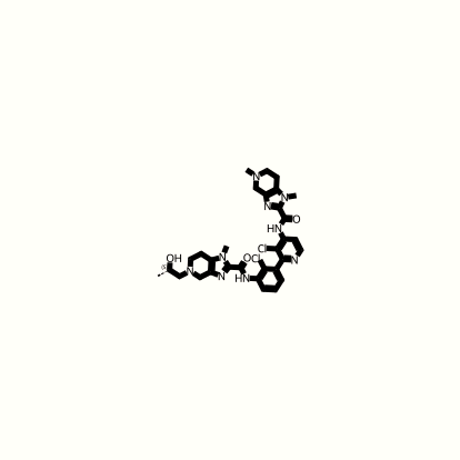 C[C@H](O)CN1CCc2c(nc(C(=O)Nc3cccc(-c4nccc(NC(=O)c5nc6c(n5C)CCN(C)C6)c4Cl)c3Cl)n2C)C1